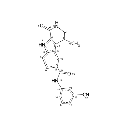 CC1CNC(=O)c2[nH]c3ccc(C(=O)Nc4cccc(C#N)c4)cc3c21